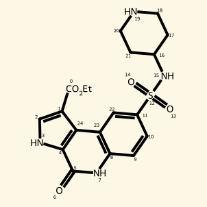 CCOC(=O)c1c[nH]c2c(=O)[nH]c3ccc(S(=O)(=O)NC4CCNCC4)cc3c12